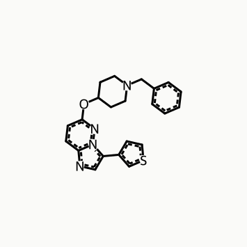 c1ccc(CN2CCC(Oc3ccc4ncc(-c5ccsc5)n4n3)CC2)cc1